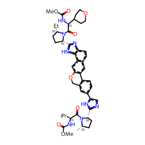 CC[C@H]1CC[C@@H](c2nc3ccc4cc5c(cc4c3[nH]2)OCc2cc(-c3cnc([C@@H]4CC[C@H](C)N4C(=O)[C@@H](NC(=O)OC)C(C)C)[nH]3)ccc2-5)N1C(=O)[C@@H](NC(=O)OC)C1CCOCC1